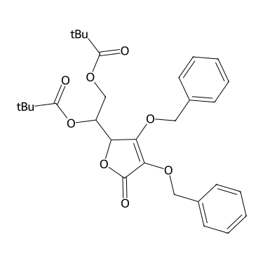 CC(C)(C)C(=O)OCC(OC(=O)C(C)(C)C)C1OC(=O)C(OCc2ccccc2)=C1OCc1ccccc1